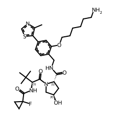 Cc1ncsc1-c1ccc(CNC(=O)[C@@H]2C[C@@H](O)CN2C(=O)[C@@H](NC(=O)C2(F)CC2)C(C)(C)C)c(OCCCCCCN)c1